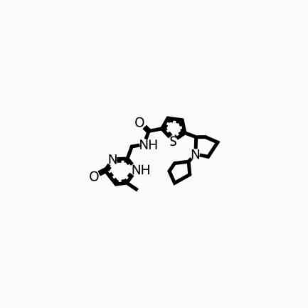 Cc1cc(=O)nc(CNC(=O)c2ccc(C3CCCN3C3CCCC3)s2)[nH]1